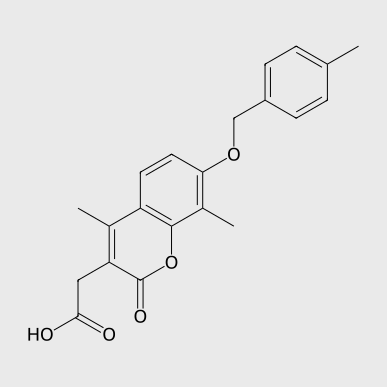 Cc1ccc(COc2ccc3c(C)c(CC(=O)O)c(=O)oc3c2C)cc1